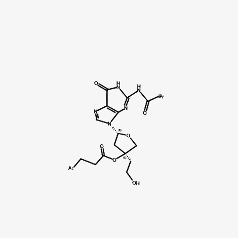 CC(=O)CCC(=O)O[C@]1(CCO)CO[C@@H](n2cnc3c(=O)[nH]c(NC(=O)C(C)C)nc32)C1